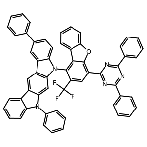 FC(F)(F)c1cc(-c2nc(-c3ccccc3)nc(-c3ccccc3)n2)c2oc3ccccc3c2c1-n1c2ccc(-c3ccccc3)cc2c2cc3c4ccccc4n(-c4ccccc4)c3cc21